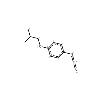 CC(C)COc1ccc(N=C=S)cc1